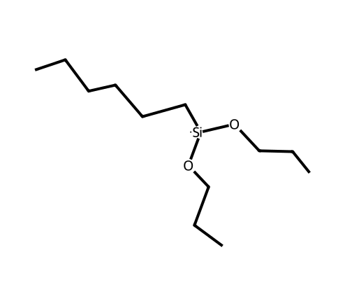 CCCCCC[Si](OCCC)OCCC